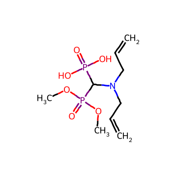 C=CCN(CC=C)C(P(=O)(O)O)P(=O)(OC)OC